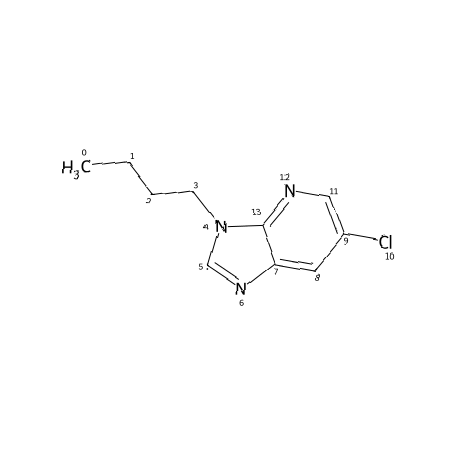 CCCCn1[c]nc2cc(Cl)cnc21